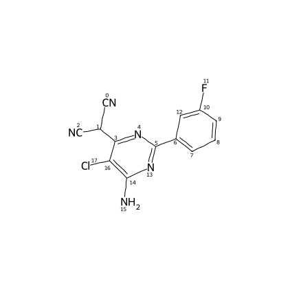 N#CC(C#N)c1nc(-c2cccc(F)c2)nc(N)c1Cl